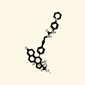 C[C@]12C[C@H](c3ccc(C#CCNC(=O)Nc4ccc(N5CCCCC5)cc4)cc3)C3=C4CCC(=O)C=C4CC[C@H]3[C@@H]1CC[C@@]2(O)C(F)(F)C(F)(F)F